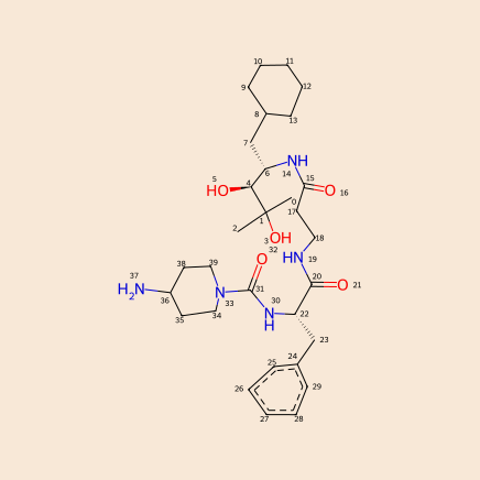 CC(C)(O)[C@@H](O)[C@H](CC1CCCCC1)NC(=O)CCNC(=O)[C@H](Cc1ccccc1)NC(=O)N1CCC(N)CC1